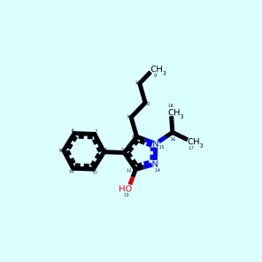 CCCCc1c(-c2ccccc2)c(O)nn1C(C)C